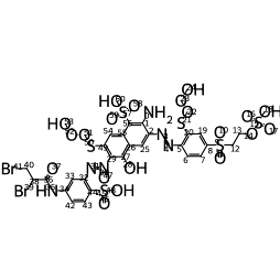 Nc1c(N=Nc2ccc(S(=O)(=O)CCOS(=O)(=O)O)cc2SOOO)cc2c(O)c(N=Nc3cc(NC(=O)C(Br)CBr)ccc3S(=O)(=O)O)c(SOOO)cc2c1S(=O)(=O)O